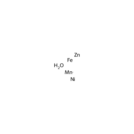 O.[Fe].[Mn].[Ni].[Zn]